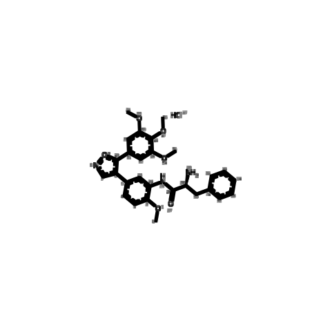 COc1ccc(-c2cnoc2-c2cc(OC)c(OC)c(OC)c2)cc1NC(=O)[C@@H](N)Cc1ccccc1.Cl